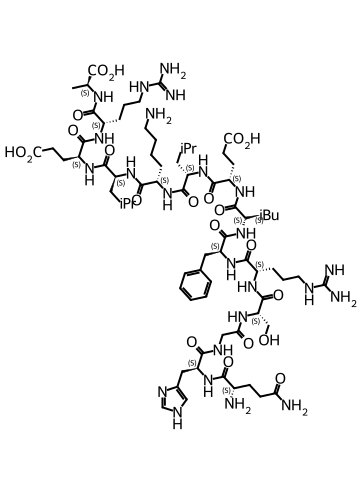 CC[C@H](C)[C@H](NC(=O)[C@H](Cc1ccccc1)NC(=O)[C@H](CCCNC(=N)N)NC(=O)[C@H](CO)NC(=O)CNC(=O)[C@H](Cc1c[nH]cn1)NC(=O)[C@@H](N)CCC(N)=O)C(=O)N[C@@H](CCC(=O)O)C(=O)N[C@@H](CC(C)C)C(=O)N[C@@H](CCCCN)C(=O)N[C@@H](CC(C)C)C(=O)N[C@@H](CCC(=O)O)C(=O)N[C@@H](CCCNC(=N)N)C(=O)N[C@@H](C)C(=O)O